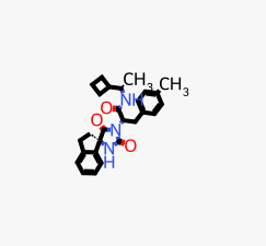 Cc1ccc(CC(C(=O)N[C@@H](C)C2CCC2)N2C(=O)N[C@]3(CCc4ccccc43)C2=O)cc1